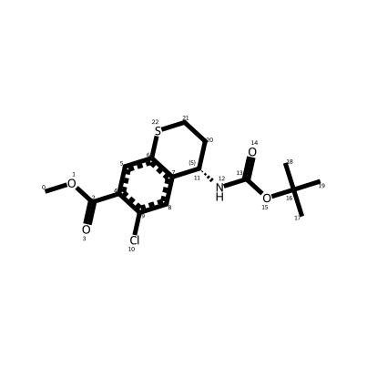 COC(=O)c1cc2c(cc1Cl)[C@@H](NC(=O)OC(C)(C)C)CCS2